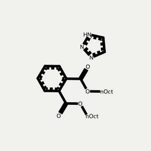 CCCCCCCCOC(=O)c1ccccc1C(=O)OCCCCCCCC.c1c[nH]nn1